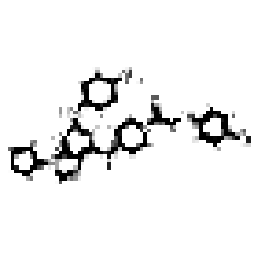 NC1CCC(Nc2nc(NC3CCN(C(=O)COc4ccc(Cl)cc4)CC3)c3ncn(C4CCCC4)c3n2)CC1